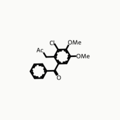 COc1cc(C(=O)c2ccccc2)c(CC(C)=O)c(Cl)c1OC